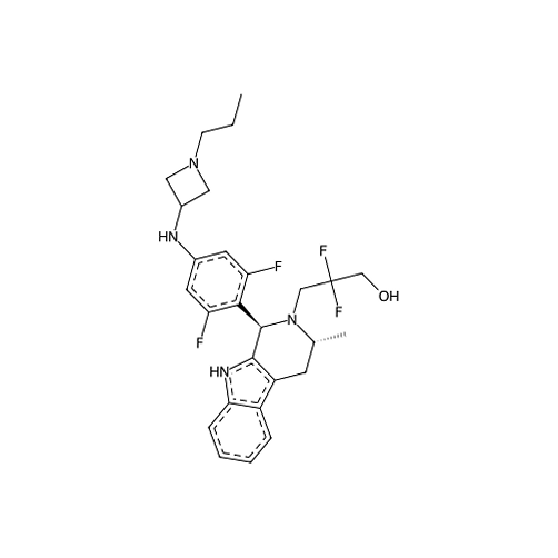 CCCN1CC(Nc2cc(F)c([C@@H]3c4[nH]c5ccccc5c4C[C@@H](C)N3CC(F)(F)CO)c(F)c2)C1